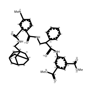 CNc1ccc(C(=O)NCC(C(=O)Nc2cc(C(=O)OC)cc(C(=O)OC)c2)c2ccccc2)c(C(=O)NCC23CC4CC(CC(C4)C2)C3)c1